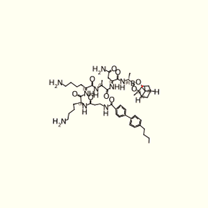 CCCCc1ccc(-c2ccc(C(=O)NCCC(=O)N[C@@H](CCCCN)C(=O)N[C@@H](CCCCN)C(=O)N[C@@H](C)C(=O)N[C@@H](CC(N)=O)C(=O)N[C@@H](C)B3OC4C[C@@H]5C[C@@H](C5(C)C)[C@]4(C)O3)cc2)cc1